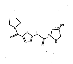 O=C(Nc1ccc(C(=O)N2CCCC2)s1)[C@@H]1C[C@@H](O)CN1